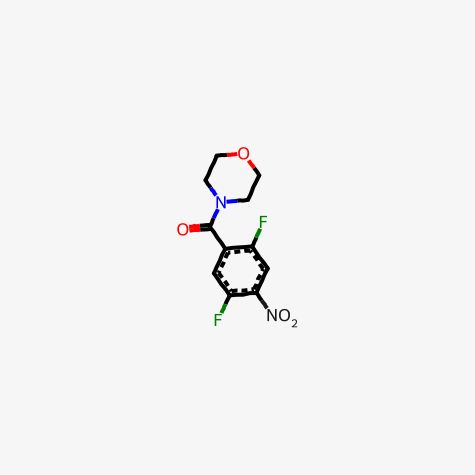 O=C(c1cc(F)c([N+](=O)[O-])cc1F)N1CCOCC1